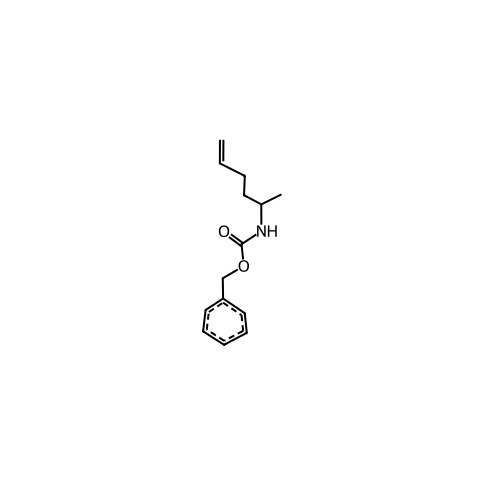 C=CCCC(C)NC(=O)OCc1ccccc1